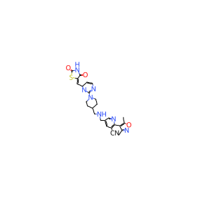 Cc1noc(C)c1-c1ncc(CNCC2CCN(c3nccc(C=C4SC(=O)NC4=O)n3)CC2)cc1C#N